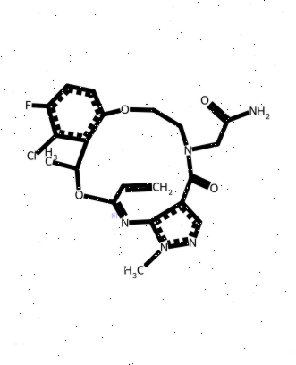 C=C/C1=N\c2c(cnn2C)C(=O)N(CC(N)=O)CCOc2ccc(F)c(Cl)c2C(C)O1